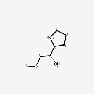 CSC[C@@H](O)[C@@H]1CCCN1